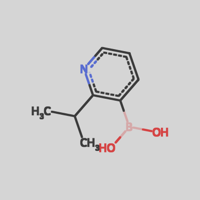 CC(C)c1ncccc1B(O)O